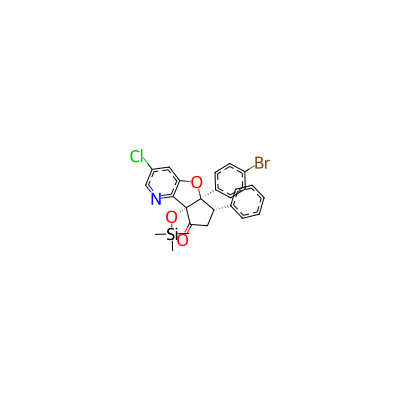 C[Si](C)(C)O[C@@]12C(=O)C[C@@H](c3ccccc3)[C@]1(c1ccc(Br)cc1)Oc1cc(Cl)cnc12